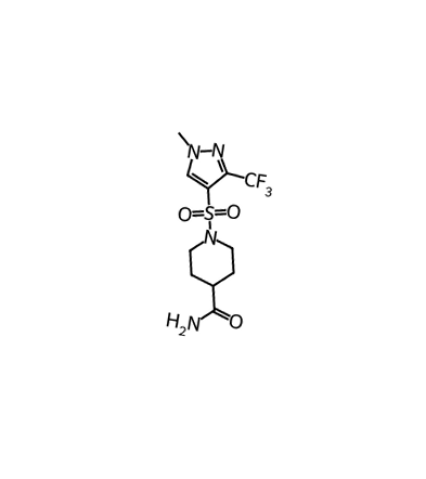 Cn1cc(S(=O)(=O)N2CCC(C(N)=O)CC2)c(C(F)(F)F)n1